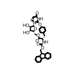 O=C(N[C@@H](Cc1ccccc1)C(=O)OC[C@H]1O[C@@H](n2ncc(=O)[nH]c2=O)[C@H](O)[C@@H]1O)OCC1c2ccccc2-c2ccccc21